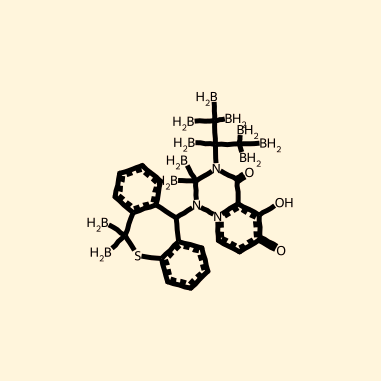 BC1(B)Sc2ccccc2C(N2n3ccc(=O)c(O)c3C(=O)N(C(B)(C(B)(B)B)C(B)(B)B)C2(B)B)c2ccccc21